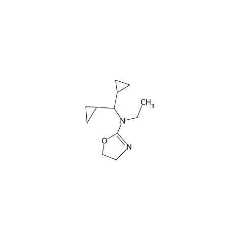 CCN(C1=NCCO1)C(C1CC1)C1CC1